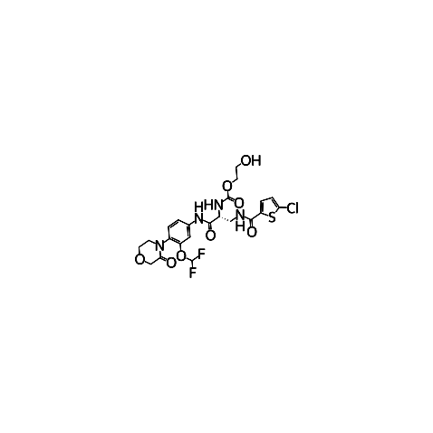 O=C(N[C@H](CNC(=O)c1ccc(Cl)s1)C(=O)Nc1ccc(N2CCOCC2=O)c(OC(F)F)c1)OCCO